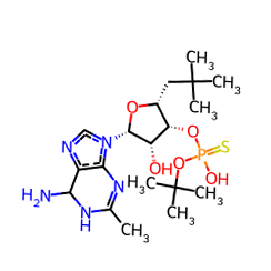 CC1=Nc2c(ncn2[C@@H]2O[C@H](CC(C)(C)C)[C@H](OP(O)(=S)OC(C)(C)C)[C@@H]2O)C(N)N1